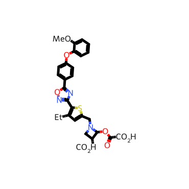 CCc1cc(CN2CC(C(=O)O)C2OC(=O)C(=O)O)sc1-c1noc(-c2ccc(Oc3ccccc3OC)cc2)n1